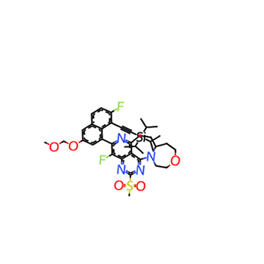 COCOc1cc(-c2nc3c4c(nc(S(C)(=O)=O)nc4c2F)N2CCOCCC2CC3)c2c(C#C[Si](C(C)C)(C(C)C)C(C)C)c(F)ccc2c1